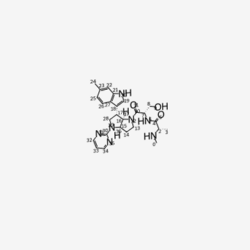 CN[C@@H](C)C(=O)N[C@@H](CO)C(=O)N1CC[C@@H]2[C@H]1[C@@H](c1c[nH]c3cc(C)ccc13)CN2c1ncccn1